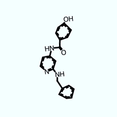 O=C(Nc1ccnc(NCc2ccccc2)c1)c1ccc(O)cc1